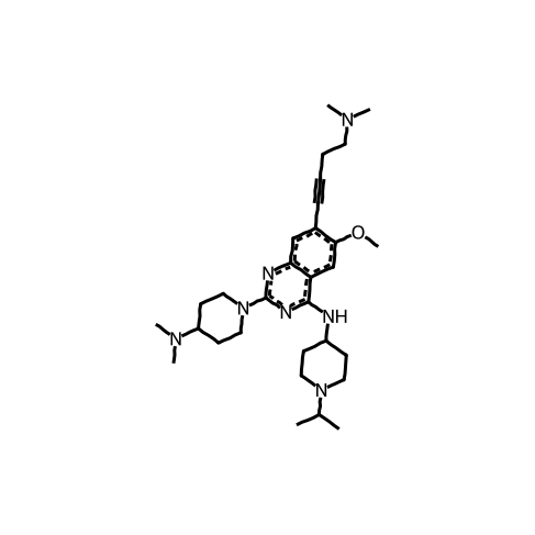 COc1cc2c(NC3CCN(C(C)C)CC3)nc(N3CCC(N(C)C)CC3)nc2cc1C#CCCN(C)C